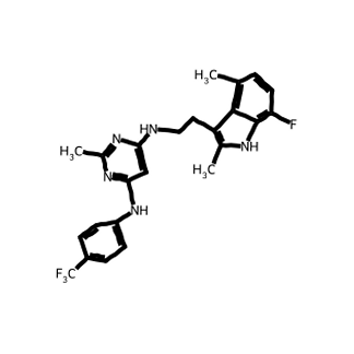 Cc1nc(NCCc2c(C)[nH]c3c(F)ccc(C)c23)cc(Nc2ccc(C(F)(F)F)cc2)n1